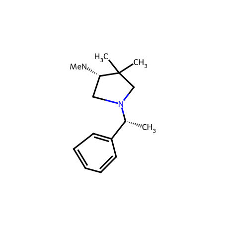 CN[C@H]1CN([C@H](C)c2ccccc2)CC1(C)C